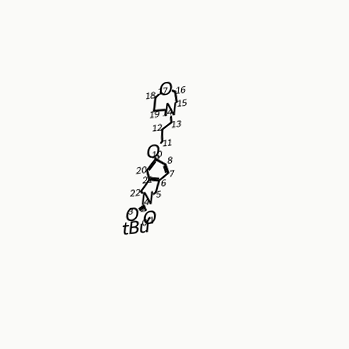 CC(C)(C)OC(=O)N1Cc2ccc(OCCCN3CCOCC3)cc2C1